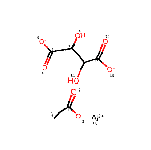 CC(=O)[O-].O=C([O-])C(O)C(O)C(=O)[O-].[Al+3]